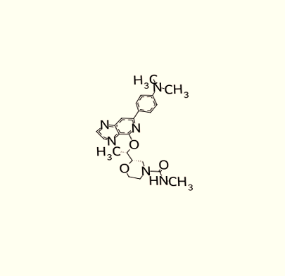 CNC(=O)N1CCO[C@H]([C@H](C)Oc2nc(-c3ccc(N(C)C)cc3)cc3nccnc23)C1